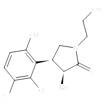 N[C@@H]1C(=O)N(CCO)C[C@@H]1c1c(O)ccc(Cl)c1Cl